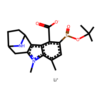 Cc1cc(S(=O)OC(C)(C)C)c(C(=O)[O-])c2c3c(n(C)c12)CC1CCC3N1.[Li+]